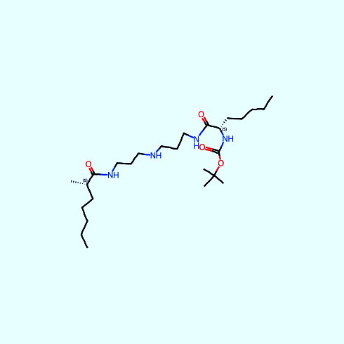 CCCCC[C@H](NC(=O)OC(C)(C)C)C(=O)NCCCNCCCNC(=O)[C@@H](C)CCCCC